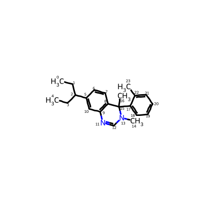 CCC(CC)c1ccc2c(c1)N=CN(C)C2(C)c1ccccc1C